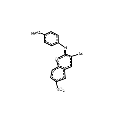 COc1ccc(/N=c2\oc3ccc([N+](=O)[O-])cc3cc2C(C)=O)cc1